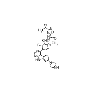 Cc1c([C@@H](C)NC(=O)c2nc(C3(C)CC3)no2)ccc(-c2ncnc3[nH]c4cc(N5CCNCC5)ccc4c23)c1F